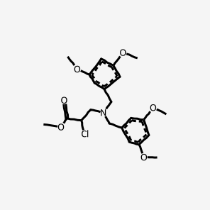 COC(=O)C(Cl)CN(Cc1cc(OC)cc(OC)c1)Cc1cc(OC)cc(OC)c1